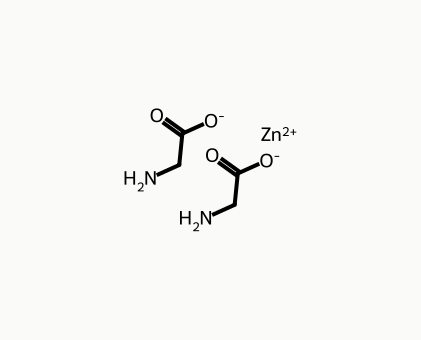 NCC(=O)[O-].NCC(=O)[O-].[Zn+2]